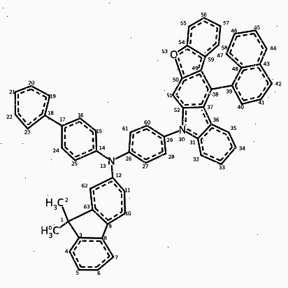 CC1(C)c2ccccc2-c2ccc(N(c3ccc(-c4ccccc4)cc3)c3ccc(-n4c5ccccc5c5c(-c6cccc7ccccc67)c6c(cc54)oc4ccccc46)cc3)cc21